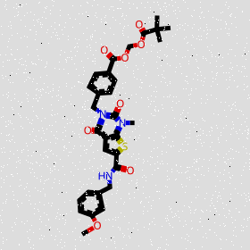 COc1cccc(CNC(=O)c2cc3c(=O)n(Cc4ccc(C(=O)OCOC(=O)C(C)(C)C)cc4)c(=O)n(C)c3s2)c1